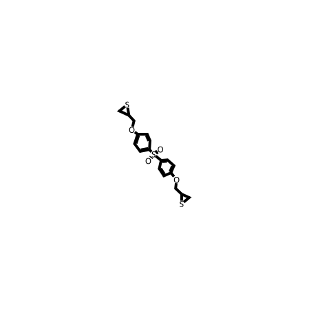 O=S(=O)(c1ccc(OCC2CS2)cc1)c1ccc(OCC2CS2)cc1